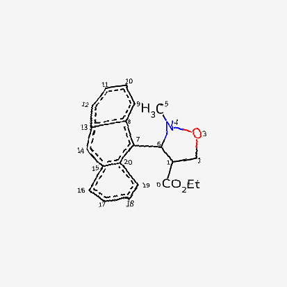 CCOC(=O)C1CON(C)C1c1c2ccccc2cc2ccccc12